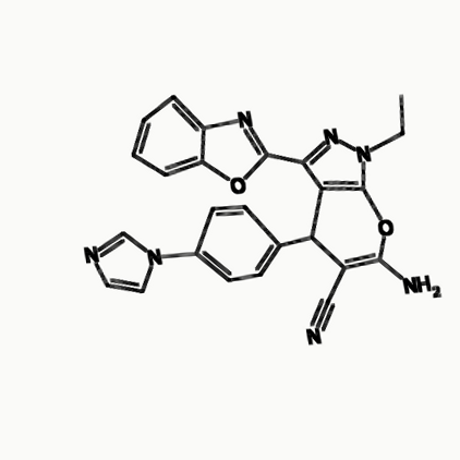 CCn1nc(-c2nc3ccccc3o2)c2c1OC(N)=C(C#N)C2c1ccc(-n2ccnc2)cc1